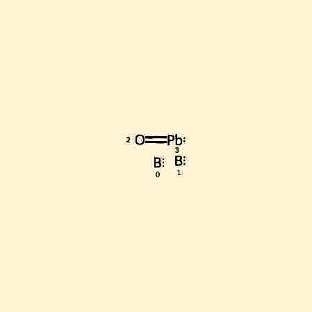 [B].[B].[O]=[Pb]